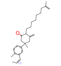 C=C(C)CCCCCCCC1C(=C)CC(C)(c2ccc(C)c(/C=C\C)c2)CC1=O